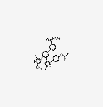 CN[S+]([O-])c1cccc(-c2ccc(-n3cc(C(F)(F)F)nc3C)c(-c3nc(C)oc3-c3ccc(OC(F)F)cc3)c2)c1